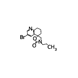 CCCN1CC2(CCCc3ncc(Br)cc32)OC1=O